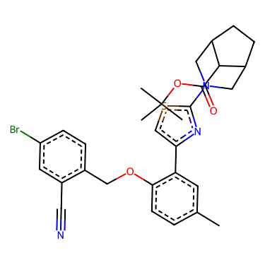 Cc1ccc(OCc2ccc(Br)cc2C#N)c(-c2csc(N3CC4CCC(C3)C4C(=O)OC(C)(C)C)n2)c1